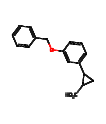 O=C(O)C1CC1c1cccc(OCc2ccccc2)c1